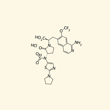 Cl.Nc1nccc2cc(C[C@H](C(=O)O)N3CC[C@H](N(c4cnc(N5CCCC5)s4)[SH](=O)=O)C3=O)c(OC(F)(F)F)cc12